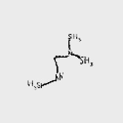 [SiH3]NCN([SiH3])[SiH3]